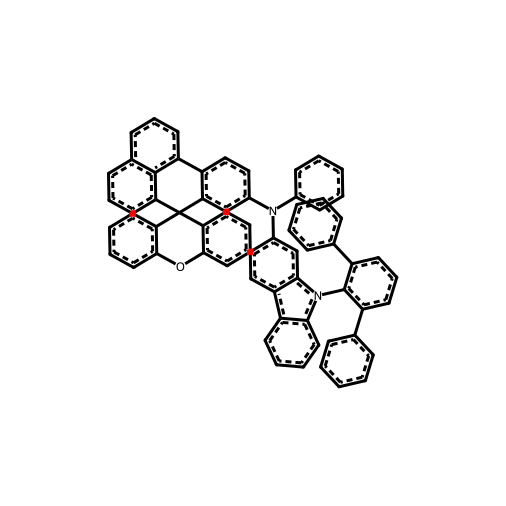 c1ccc(-c2cccc(-c3ccccc3)c2-n2c3ccccc3c3ccc(N(c4ccccc4)c4ccc5c(c4)C4(c6ccccc6Oc6ccccc64)c4cccc6cccc-5c46)cc32)cc1